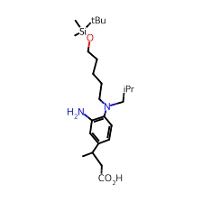 CC(C)CN(CCCCCO[Si](C)(C)C(C)(C)C)c1ccc(C(C)CC(=O)O)cc1N